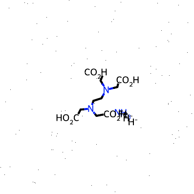 N.O=C(O)CN(CCN(CC(=O)O)CC(=O)O)CC(=O)O.[Fe].[H-].[H-]